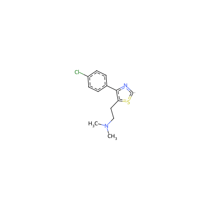 CN(C)CCc1s[c]nc1-c1ccc(Cl)cc1